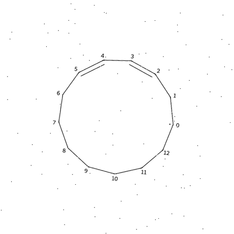 [CH]1CC=CC=CCCCCCCC1